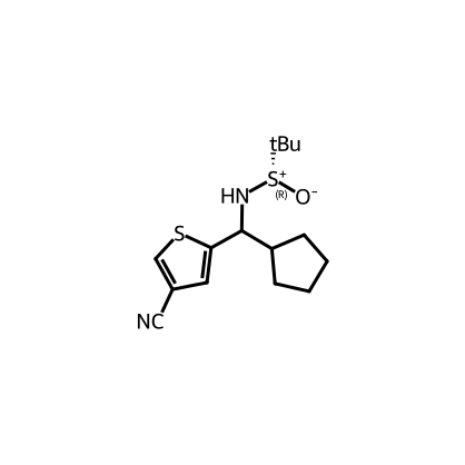 CC(C)(C)[S@+]([O-])NC(c1cc(C#N)cs1)C1CCCC1